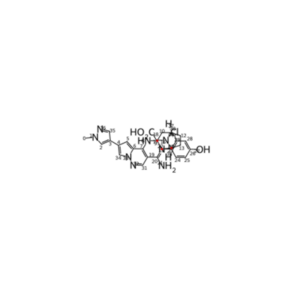 Cn1cc(-c2cc3c(NC4C[C@H]5CC[C@@H](C4)N5CC(=O)O)c(C(N)=Nc4ccc(O)cc4Cl)cnn3c2)cn1